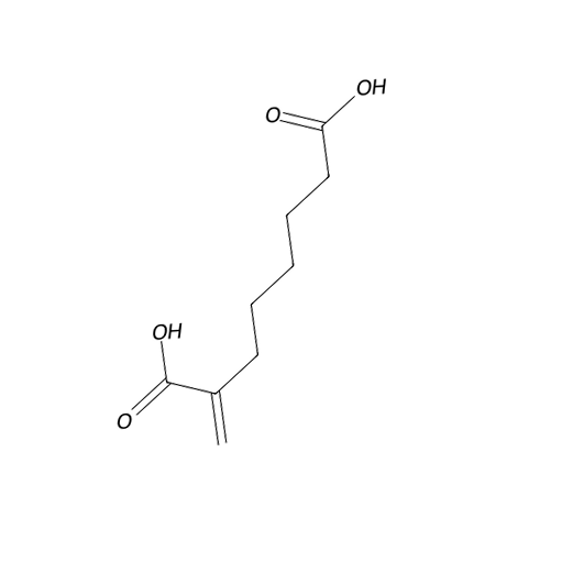 C=C(CCCCCC(=O)O)C(=O)O